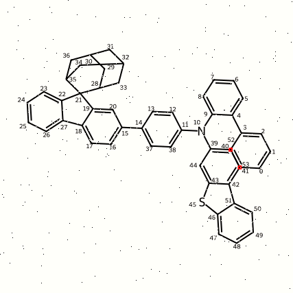 c1ccc(-c2ccccc2N(c2ccc(-c3ccc4c(c3)C3(c5ccccc5-4)C4CC5CC(C4)CC3C5)cc2)c2ccc3c(c2)sc2ccccc23)cc1